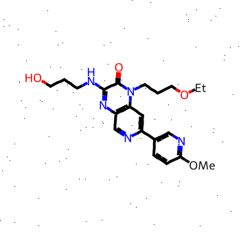 CCOCCCn1c(=O)c(NCCCO)nc2cnc(-c3ccc(OC)nc3)cc21